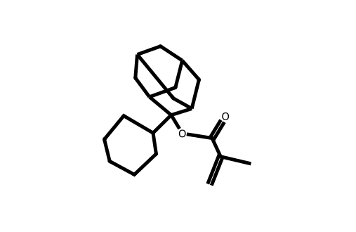 C=C(C)C(=O)OC1(C2CCCCC2)C2CC3CC(C2)CC1C3